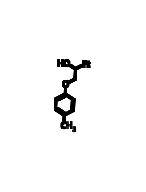 CCC(O)COc1ccc(C)cc1